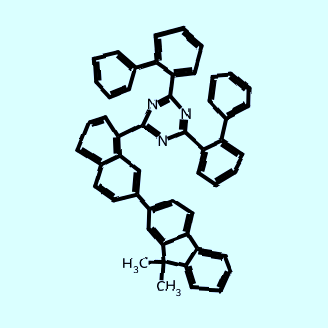 CC1(C)c2ccccc2-c2ccc(-c3ccc4cccc(-c5nc(-c6ccccc6-c6ccccc6)nc(-c6ccccc6-c6ccccc6)n5)c4c3)cc21